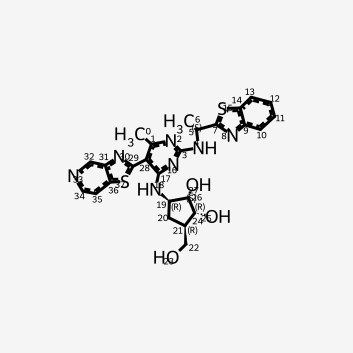 Cc1nc(N[C@@H](C)c2nc3ccccc3s2)nc(N[C@@H]2C[C@H](CO)[C@@H](O)[C@H]2O)c1-c1nc2cnccc2s1